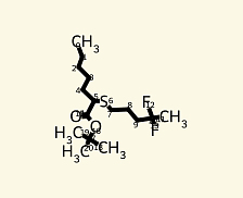 CCCCCC(SCCCC(C)(F)F)C(=O)OC(C)(C)C